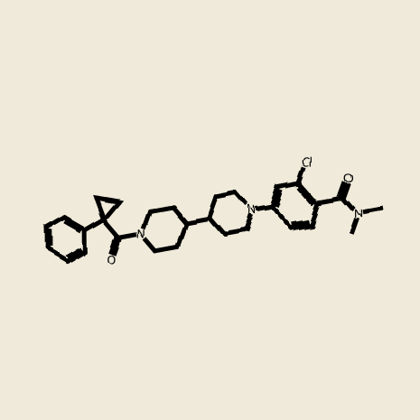 CN(C)C(=O)c1ccc(N2CCC(C3CCN(C(=O)C4(c5ccccc5)CC4)CC3)CC2)cc1Cl